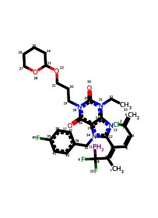 C=C(Cl)/C=C\C(=C(/C)C(F)(F)P)c1nc2c(c(=O)n(CCCOC3CCCCO3)c(=O)n2CC)n1Cc1ccc(F)cc1